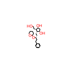 OCC[C@@H]1[C@@H](CC[C@H](CCc2ccccc2)OC2CCCCO2)[C@H](O)C[C@H]1O